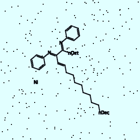 CCCCCCCCCCCCCCCCCC/C=C/C(=N\c1ccccc1)C(/CCCCCCCC)=N/c1ccccc1.[Ni]